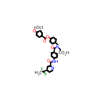 CCCCCCCCOc1ccc(C(=O)Oc2ccc(CN(CC(=O)O)C(=O)c3ccc(NC(=O)c4cc(C(C)(F)F)ccn4)cc3)cc2)cc1